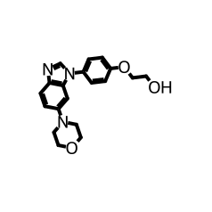 OCCOc1ccc(-n2cnc3ccc(N4CCOCC4)cc32)cc1